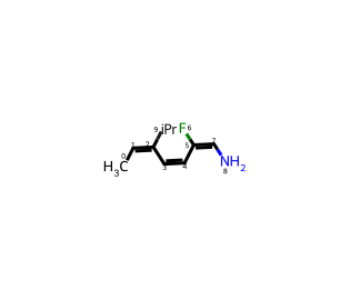 C\C=C(/C=C\C(F)=C/N)C(C)C